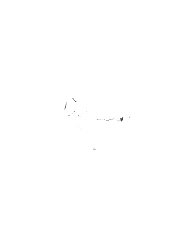 O=[N+]([O-])c1cc(O)ccc1N(CCCO)CCCO